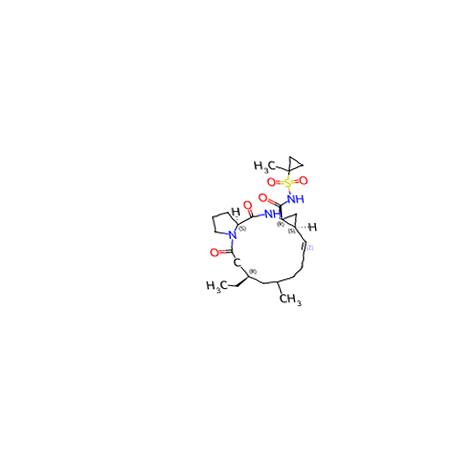 CC[C@H]1CC(=O)N2CCC[C@H]2C(=O)N[C@]2(C(=O)NS(=O)(=O)C3(C)CC3)C[C@H]2/C=C\CCC(C)C1